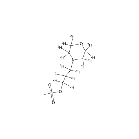 [2H]C1([2H])OC([2H])([2H])C([2H])([2H])N(C([2H])([2H])C([2H])([2H])C([2H])([2H])OS(C)(=O)=O)C1([2H])[2H]